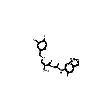 CO/C(=C/NCc1ccc(F)c(Cl)c1)C(=O)/N=C(\I)Nc1cc2[nH]ncc2cc1C